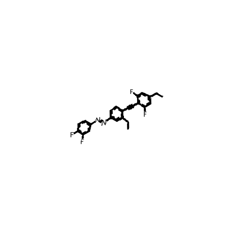 CCc1cc(F)c(C#Cc2ccc(N=Nc3ccc(F)c(F)c3)cc2CC)c(F)c1